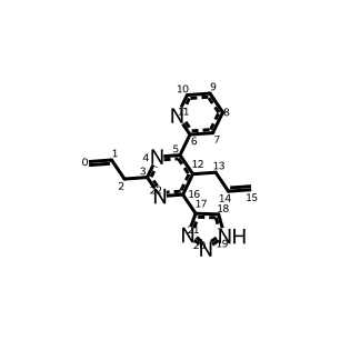 C=CCc1nc(-c2ccccn2)c(CC=C)c(-c2c[nH]nn2)n1